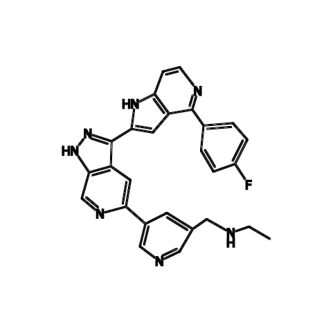 CCNCc1cncc(-c2cc3c(-c4cc5c(-c6ccc(F)cc6)nccc5[nH]4)n[nH]c3cn2)c1